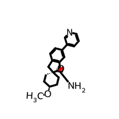 CO[C@H]1CC[C@]2(CC1)Cc1ccc(-c3cccnc3)cc1[C@@]21COC(N)=N1